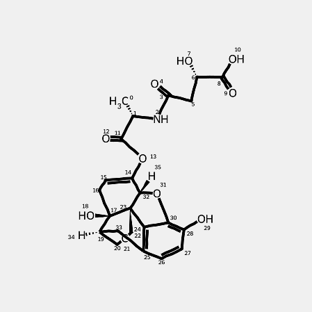 C[C@H](NC(=O)C[C@H](O)C(=O)O)C(=O)OC1=CC[C@@]2(O)[C@@H]3CCC[C@@]24c2c(ccc(O)c2O[C@@H]14)C3